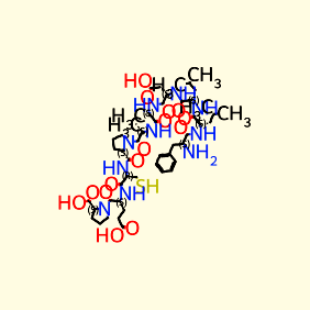 CC(C)C[C@H](NC(=O)[C@H](CC(C)C)NC(=O)[C@@H](N)Cc1ccccc1)C(=O)N[C@@H](CC(=O)O)C(=O)N[C@@H](C)C(=O)N[C@@H](C)C(=O)N1CCC[C@H]1C(=O)N[C@@H](CS)C(=O)N[C@@H](CCC(=O)O)C(=O)N1CCC[C@H]1C(=O)O